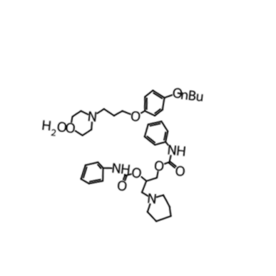 CCCCOc1ccc(OCCCN2CCOCC2)cc1.O.O=C(Nc1ccccc1)OCC(CN1CCCCC1)OC(=O)Nc1ccccc1